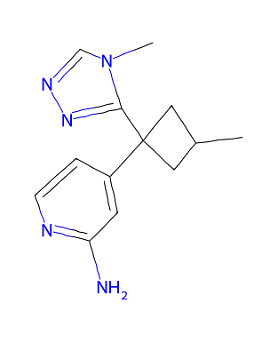 CC1CC(c2ccnc(N)c2)(c2nncn2C)C1